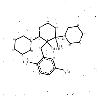 Cc1ccc(C)c(CC2(O)C(N3CCCCC3)CCCC2(C)N2CCCCC2)c1